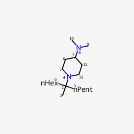 CCCCCCC(C)(CCCCC)N1CCC(N(C)C)CC1